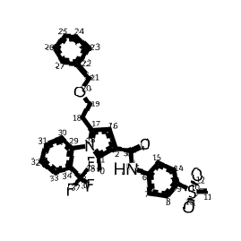 Cc1c(C(=O)Nc2ccc(S(C)(=O)=O)cc2)cc(CCOCc2ccccc2)n1-c1ccccc1C(F)(F)F